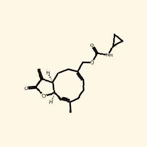 C=C1C(=O)O[C@@H]2C=C(C)CCC=C(COC(=O)NC3CC3)CC[C@H]12